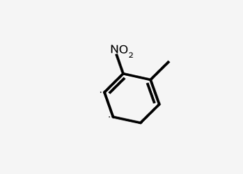 CC1=CC[CH][C]=C1[N+](=O)[O-]